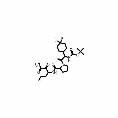 CCCC(NC(=O)C1CCCN1C(=O)C(NC(=O)OC(C)(C)C)C1CCC(F)(F)CC1)C(=O)C(N)=O